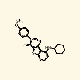 O=c1c2sc3nccc(NC4CCCCC4)c3c2ncn1-c1ccc(OC(F)(F)F)cc1